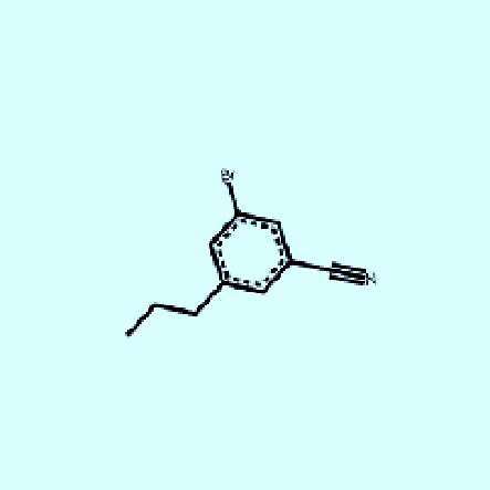 CCCc1cc(Br)cc(C#N)c1